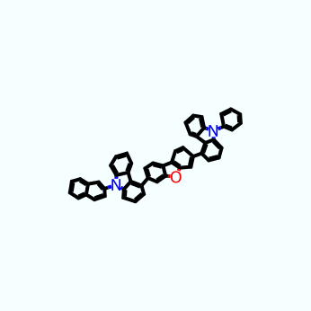 c1ccc(-n2c3ccccc3c3c(-c4ccc5c(c4)oc4cc(-c6cccc7c6c6ccccc6n7-c6ccc7ccccc7c6)ccc45)cccc32)cc1